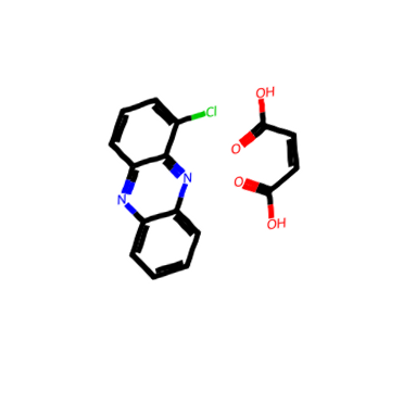 Clc1cccc2nc3ccccc3nc12.O=C(O)/C=C\C(=O)O